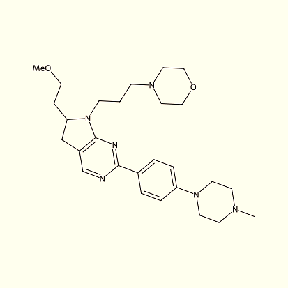 COCCC1Cc2cnc(-c3ccc(N4CCN(C)CC4)cc3)nc2N1CCCN1CCOCC1